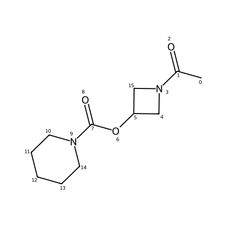 CC(=O)N1CC(OC(=O)N2CCCCC2)C1